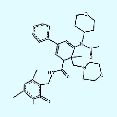 CC(=O)N(C1=CC(c2ccccc2)=CC(C(=O)NCc2c(C)cc(C)[nH]c2=O)C1(C)CN1CCOCC1)C1CCOCC1